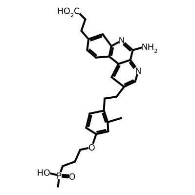 Cc1cc(OCCCP(C)(=O)O)ccc1CCc1cnc2c(N)nc3cc(CCC(=O)O)ccc3c2c1